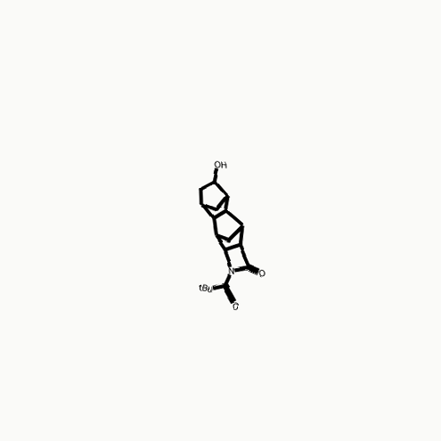 CC(C)(C)C(=O)N1C(=O)C2C3CC(C4C5CC(O)C(C5)C34)C21